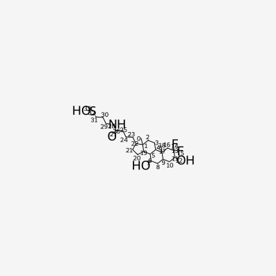 CC12CCC3C(C(O)CC4CC(O)C(F)(F)CC43C)C1CCC2CCCC(=O)NCCCSO